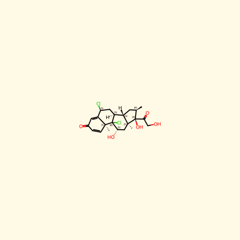 C[C@@H]1C[C@H]2[C@@H]3C[C@H](Cl)C4=CC(=O)C=C[C@]4(C)[C@@]3(Cl)[C@@H](O)C[C@]2(C)[C@@]1(O)C(=O)CO